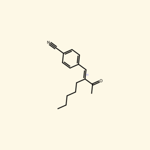 CCCCC/C(=C\c1ccc(C#N)cc1)C(C)=O